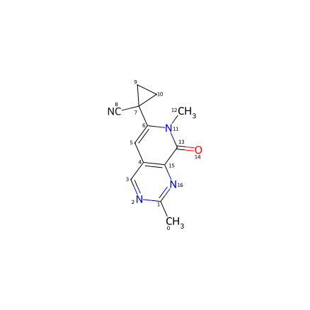 Cc1ncc2cc(C3(C#N)CC3)n(C)c(=O)c2n1